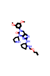 C=CCOCNC1CCCCC1Nc1ncc2c(n1)N(C1CCCNC1)C(=O)N(c1cc(OC)cc(OC)c1)C2